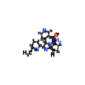 Cc1cccc(-c2nc3n(c2-c2ccncc2C(N)=O)[C@H]2CC[C@@H]3C2)n1